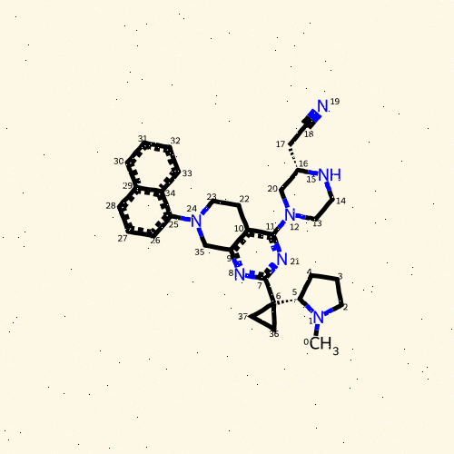 CN1CCC[C@H]1C1(c2nc3c(c(N4CCN[C@@H](CC#N)C4)n2)CCN(c2cccc4ccccc24)C3)CC1